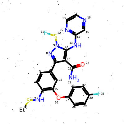 CCSNc1ccc(-c2nn(SF)c(Nc3cnccn3)c2C(N)=O)cc1Oc1ccc(F)cc1